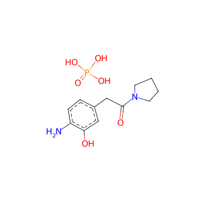 Nc1ccc(CC(=O)N2CCCC2)cc1O.O=P(O)(O)O